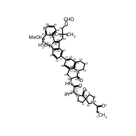 C=CC(=O)N1CCC2(CCN([C@H](C(=O)N[C@@H](Cc3cccc(-c4ccc5c(c4)c(CC(C)(C)COC=O)c(-c4cccnc4[C@H](C)OC)n5C)c3)C(=O)N3CCCCN3)C(C)C)C2=O)C1